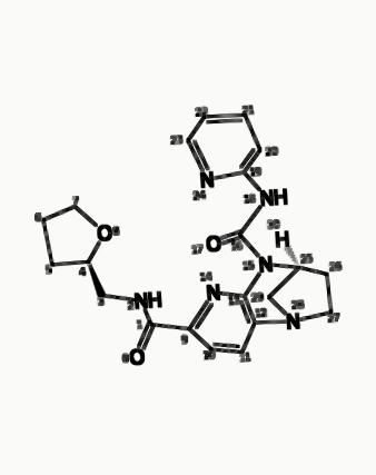 O=C(NC[C@H]1CCCO1)c1ccc2c(n1)N(C(=O)Nc1ccccn1)[C@H]1CCN2C1